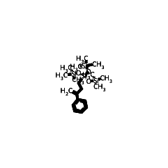 C=C(CC[Si](O[Si](C)(C)C)(O[Si](C)(C)C)O[Si](C)(C)C)c1ccccc1